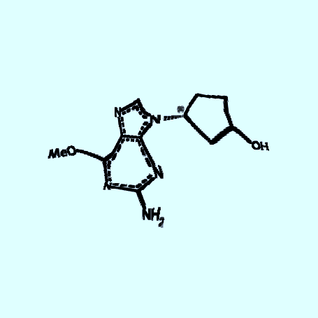 COc1nc(N)nc2c1ncn2[C@@H]1CCC(O)C1